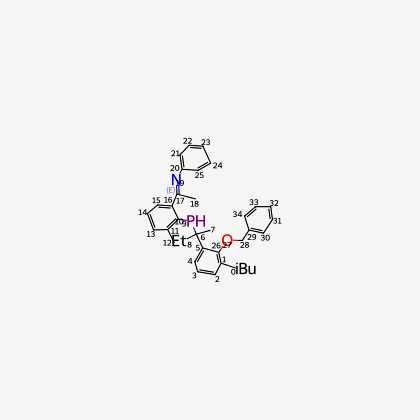 CCC(C)c1cccc(C(C)(CC)Pc2c(C)cccc2/C(C)=N/c2ccccc2)c1OCc1ccccc1